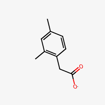 Cc1ccc(CC([O])=O)c(C)c1